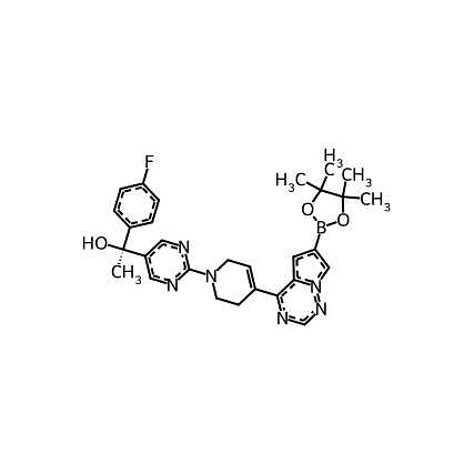 CC1(C)OB(c2cc3c(C4=CCN(c5ncc([C@@](C)(O)c6ccc(F)cc6)cn5)CC4)ncnn3c2)OC1(C)C